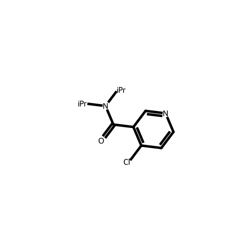 CC(C)N(C(=O)c1cnccc1Cl)C(C)C